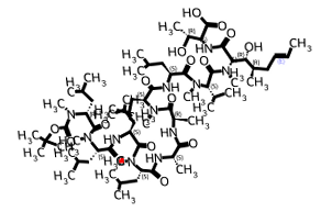 C/C=C/C[C@@H](C)[C@@H](O)[C@@H](C(=O)N[C@H](C(=O)O)[C@@H](C)O)N(C)C(=O)[C@H](C(C)C)N(C)C(=O)[C@H](CC(C)C)NC(=O)[C@H](CC(C)C)N(C)C(=O)[C@@H](C)NC(=O)[C@H](C)NC(=O)[C@H](CC(C)C)N(C)C(=O)[C@H](CC(C)C)NC(=O)[C@H](CC(C)C)N(C)C(=O)[C@@H](CC(C)C)N(C)C(=O)OC(C)(C)C